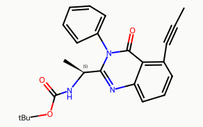 CC#Cc1cccc2nc([C@H](C)NC(=O)OC(C)(C)C)n(-c3ccccc3)c(=O)c12